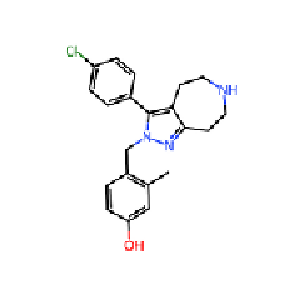 Cc1cc(O)ccc1Cn1nc2c(c1-c1ccc(Cl)cc1)CCNCC2